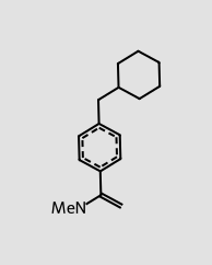 C=C(NC)c1ccc(CC2CCCCC2)cc1